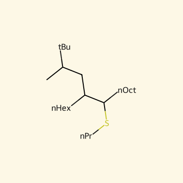 CCCCCCCCC(SCCC)C(CCCCCC)CC(C)C(C)(C)C